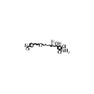 CN(C)C(=O)c1ccc(CCCOCCCCCCNCC(O)c2cc(Cl)c(N)c(Cl)c2)cc1